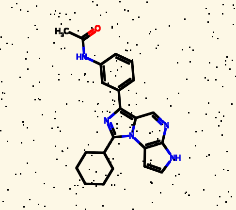 CC(=O)Nc1cccc(-c2nc(C3CCCCC3)n3c2cnc2[nH]ccc23)c1